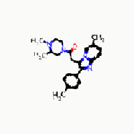 Cc1ccc(-c2nc3ccc(C)cn3c2CC(=O)N2CCN(C)C(C)C2)cc1